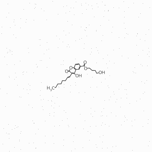 CCCCCCC=Cc1c(O)c2cc(C(=O)OCCCCO)ccc2oc1=O